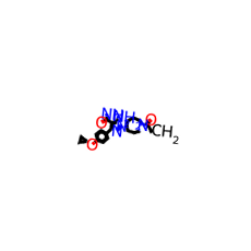 C=CC(=O)N1CCCC(n2nc(-c3ccc(OC4CC4)cc3)c(C(N)=O)c2N)CCC1